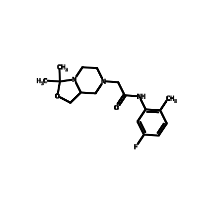 Cc1ccc(F)cc1NC(=O)CN1CCN2C(COC2(C)C)C1